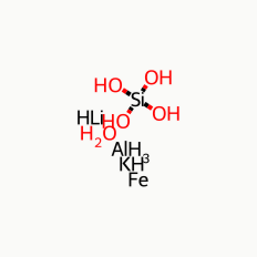 O.O[Si](O)(O)O.[AlH3].[Fe].[KH].[LiH]